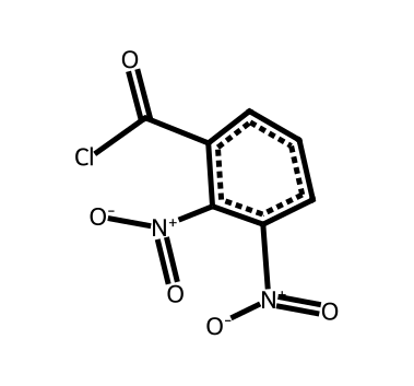 O=C(Cl)c1cccc([N+](=O)[O-])c1[N+](=O)[O-]